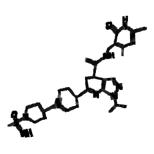 C=C(NCc1c(C)cc(C)[nH]c1=O)C1CC(C2CCN(C3CCN(S(C)(=N)=O)CC3)CC2)=Nc2c1cnn2C(C)C